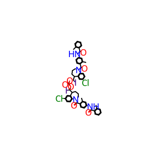 Cc1ccccc1C(=O)Nc1ccc(C(=O)N2CCCC(C(I)OC(=O)OC(I)C3CCCN(C(=O)c4ccc(NC(=O)c5ccccc5C)cc4C)c4ccc(Cl)cc43)c3cc(Cl)ccc32)c(C)c1